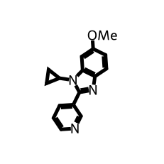 COc1ccc2nc(-c3cccnc3)n(C3CC3)c2c1